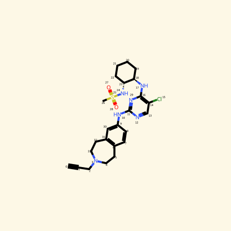 C#CCN1CCc2ccc(Nc3ncc(Cl)c(N[C@@H]4CCCC[C@H]4NS(C)(=O)=O)n3)cc2CC1